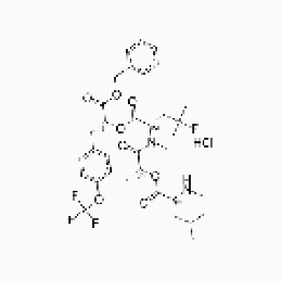 CN[C@H](CC(C)C)C(=O)O[C@H](C)C(=O)N(C)[C@@H](CC(C)(C)F)C(=O)O[C@H](Cc1ccc(OC(F)(F)F)cc1)C(=O)OCc1ccccc1.Cl